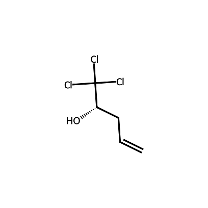 C=CC[C@H](O)C(Cl)(Cl)Cl